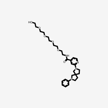 O=C(NCCOCCOCCOCCOCCO)c1ccnc(N2CCC3(CCN(c4ccccc4)C3)C2)c1